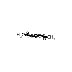 CC=CC(=O)OCCOCC1CCC(COCCOC(=O)C=CC)CC1